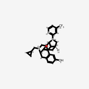 Oc1ccc2c(c1)C13CCN(CC4CC4)C(C2)C12CCC1C3[C@@H](CN1c1cc(C(F)(F)F)ccn1)C2